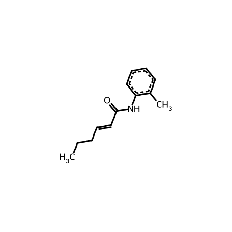 CCCC=CC(=O)Nc1ccccc1C